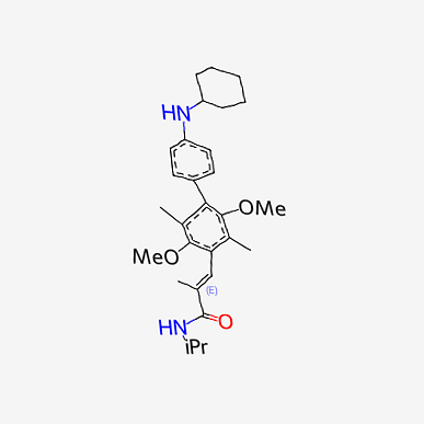 COc1c(C)c(-c2ccc(NC3CCCCC3)cc2)c(OC)c(C)c1/C=C(\C)C(=O)NC(C)C